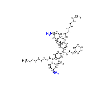 CCCCCCCCCC(c1ccc(C(CCCC2CCCCC2)c2ccc(C(CCCCCCCCC)c3ccc(N)cc3C)cc2)cc1)c1ccc(N)cc1C